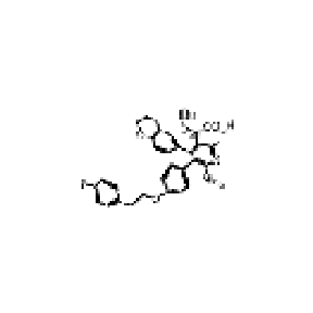 Cc1nc(N)c(-c2ccc(OCCc3ccc(F)cc3)cc2)c(-c2ccc3c(c2)CCCO3)c1[C@H](OC(C)(C)C)C(=O)O